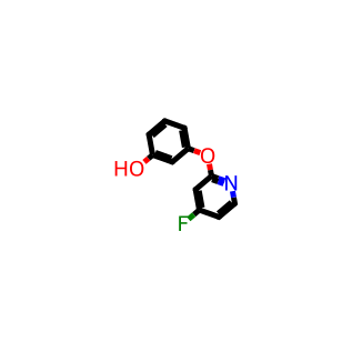 Oc1cccc(Oc2cc(F)ccn2)c1